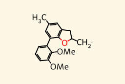 [CH2]C1Cc2cc(C)cc(-c3cccc(OC)c3OC)c2O1